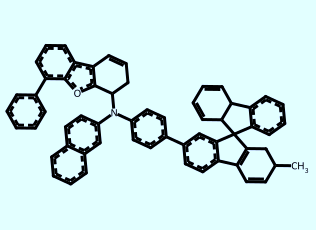 CC1C=CC2=C(C1)C1(c3cc(-c4ccc(N(c5ccc6ccccc6c5)C5CC=Cc6c5oc5c(-c7ccccc7)cccc65)cc4)ccc32)c2ccccc2C2C=CC=CC21